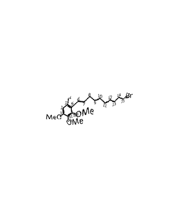 COc1cc(C)c(CCCCCCCCCCBr)c(OC)c1OC